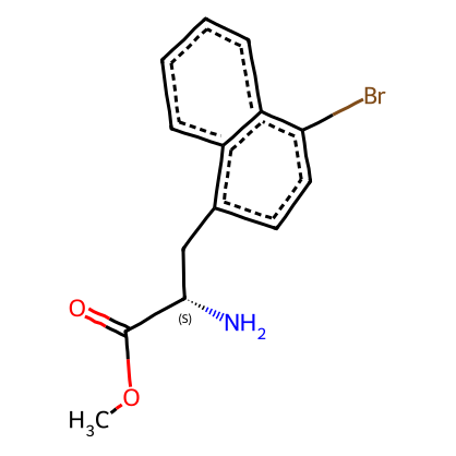 COC(=O)[C@@H](N)Cc1ccc(Br)c2ccccc12